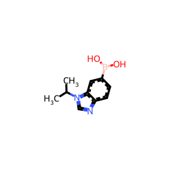 CC(C)n1cnc2ccc(B(O)O)cc21